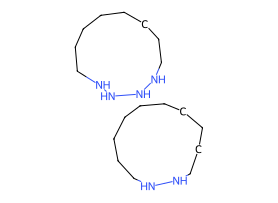 C1CCCCCNNCCCC1.C1CCCCNNNNCCC1